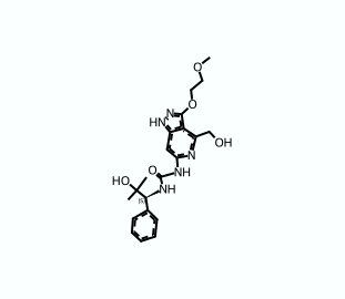 COCCOc1n[nH]c2cc(NC(=O)N[C@@H](c3ccccc3)C(C)(C)O)nc(CO)c12